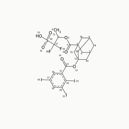 CC(OC(=O)C12CC3CC(CC(OC(=O)c4cc(I)cc(I)c4I)(C3)C1)C2)C(F)(F)S(=O)(=O)O